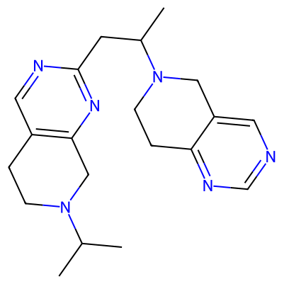 CC(C)N1CCc2cnc(CC(C)N3CCc4ncncc4C3)nc2C1